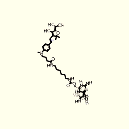 CN(CCCC(=O)NCCCCCCNC(=O)OC[C@@H]1NC(=N)N2CCC(O)(O)[C@@]23NC(=N)N[C@@H]13)c1ccc(/C=C/C2=C(C#N)C(=C(C#N)C#N)OC2(C)C)cc1